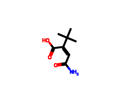 CC(C)(C)/C(=C/C(N)=O)C(=O)O